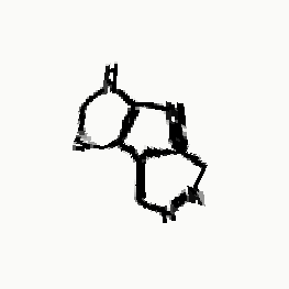 C1=C2C(=NC3=C2SCN3)CN=N1